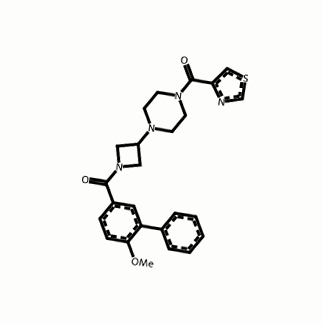 COc1ccc(C(=O)N2CC(N3CCN(C(=O)c4cscn4)CC3)C2)cc1-c1ccccc1